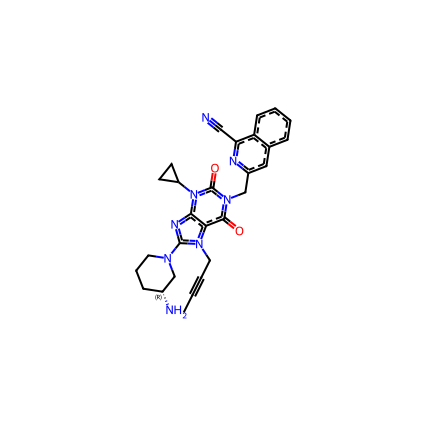 CC#CCn1c(N2CCC[C@@H](N)C2)nc2c1c(=O)n(Cc1cc3ccccc3c(C#N)n1)c(=O)n2C1CC1